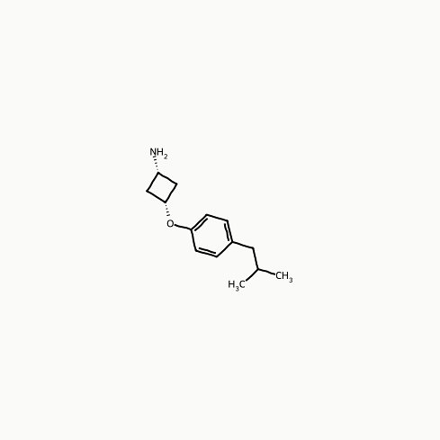 CC(C)Cc1ccc(O[C@H]2C[C@@H](N)C2)cc1